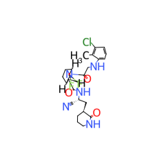 Cc1c(Cl)cccc1NCC(=O)N1[C@H]2CC[C@@H]([C@H]1C(=O)N[C@@H](C#N)C[C@@H]1CCCNC1=O)C(F)(F)C2